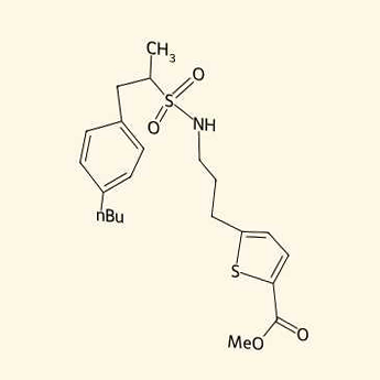 CCCCc1ccc(CC(C)S(=O)(=O)NCCCc2ccc(C(=O)OC)s2)cc1